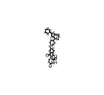 O=C1CCN(N2C(=O)c3ccc(CN4CCC(c5ncnc6sc(-c7ccccc7)cc56)CC4)cc3C2=O)C(=O)N1